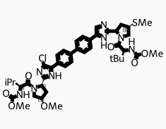 COC(=O)N[C@H](C(=O)N1C[C@@H](OC)C[C@H]1c1nc(Cl)c(-c2ccc(-c3ccc(-c4cnc(C5C[C@H](SC)CN5C(=O)[C@@H](NC(=O)OC)C(C)(C)C)[nH]4)cc3)cc2)[nH]1)C(C)C